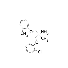 Cc1ccccc1OCC(C)(N)COc1ccccc1Cl